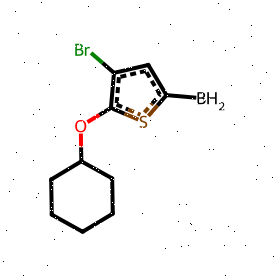 Bc1cc(Br)c(OC2CCCCC2)s1